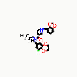 CC(C)CN(Cc1cc(Cl)c2c(c1)OCCCO2)C(=O)[C@@H]1CCN(Cc2cccc3c2OCO3)C1